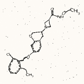 CCc1cccc(Cl)c1COc1ccc2c(c1)OCC(N1CC(C(=O)NOC)C1)C2